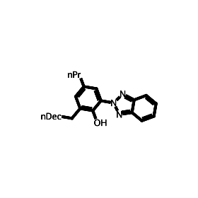 CCCCCCCCCCCc1cc(CCC)cc(-n2nc3ccccc3n2)c1O